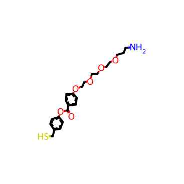 NCCCOCCOCCOCCOc1ccc(C(=O)Oc2ccc(CS)cc2)cc1